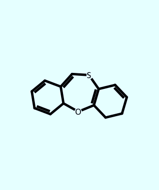 C1=CC2=CSC3=C(CCC=C3)OC2C=C1